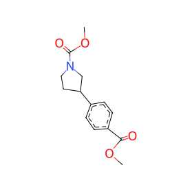 COC(=O)c1ccc(C2CCN(C(=O)OC)C2)cc1